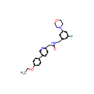 CCOc1ccc(-c2ccc(CC(=O)NCc3cc(F)cc(N4CCOCC4)c3)nc2)cc1